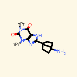 CCCn1c(=O)c2[nH]c(C34CCC(N)(CC3)CC4)nc2n(CCC)c1=O